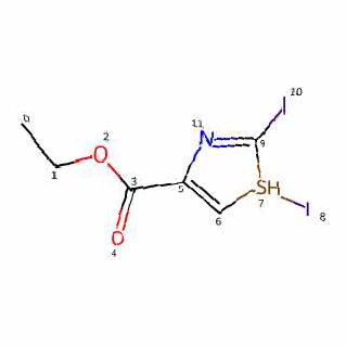 CCOC(=O)C1=C[SH](I)C(I)=N1